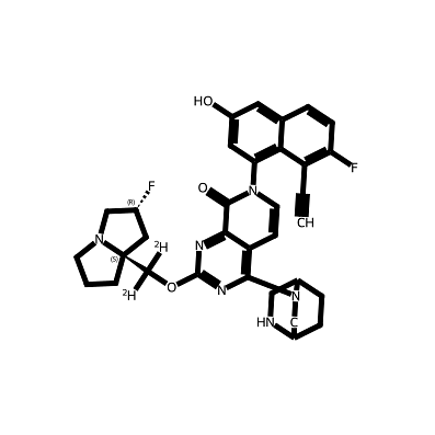 [2H]C([2H])(Oc1nc(N2CC3CCC2CN3)c2ccn(-c3cc(O)cc4ccc(F)c(C#C)c34)c(=O)c2n1)[C@@]12CCCN1C[C@H](F)C2